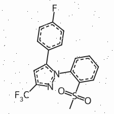 CS(=O)(=O)c1ccccc1-n1nc(C(F)(F)F)cc1-c1ccc(F)cc1